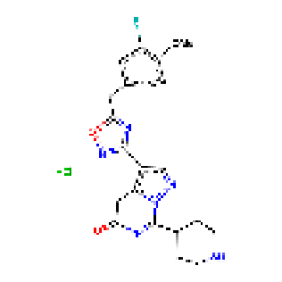 COc1ccc(Cc2nc(-c3cnn4c3CC(=O)N=C4C3CCNCC3)no2)cc1F.Cl